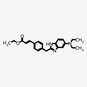 CCOC(=O)/C=C/c1ccc(Cc2nc3cc(N(CC)CC)ccc3[nH]2)cc1